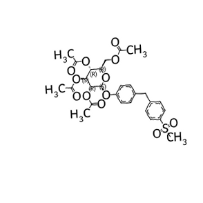 CC(=O)OC[C@H]1O[C@@H](Oc2ccc(Cc3ccc(S(C)(=O)=O)cc3)cc2)[C@H](OC(C)=O)[C@@H](OC(C)=O)[C@@H]1OC(C)=O